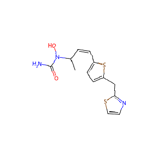 CC(/C=C\c1ccc(Cc2nccs2)s1)N(O)C(N)=O